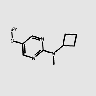 CC(C)Oc1cnc(N(C)C2CCC2)nc1